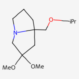 COC1(OC)CN2CCCC2(COC(C)C)C1